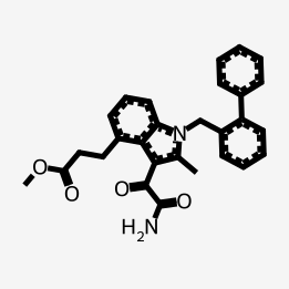 COC(=O)CCc1cccc2c1c(C(=O)C(N)=O)c(C)n2Cc1ccccc1-c1ccccc1